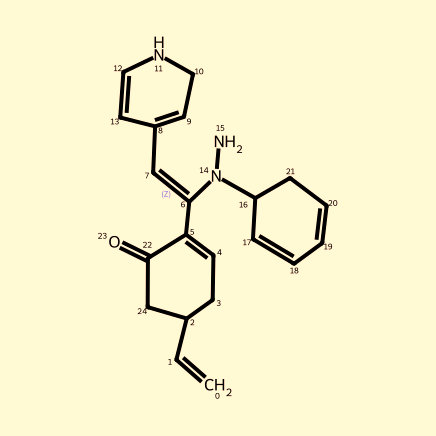 C=CC1CC=C(/C(=C/C2=CCNC=C2)N(N)C2C=CC=CC2)C(=O)C1